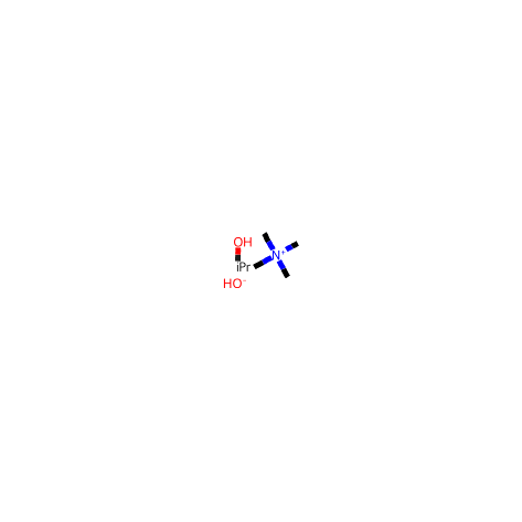 CC(C)O.C[N+](C)(C)C.[OH-]